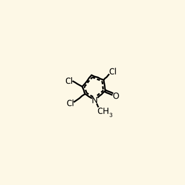 Cn1c(Cl)c(Cl)cc(Cl)c1=O